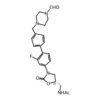 CC(=O)NC[C@H]1CN(c2ccc(-c3ccc(CN4CCN(C=O)CC4)cc3)c(F)c2)C(=O)O1